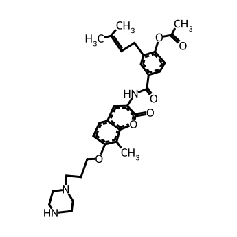 CC(=O)Oc1ccc(C(=O)Nc2cc3ccc(OCCCN4CCNCC4)c(C)c3oc2=O)cc1CC=C(C)C